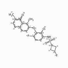 Cc1c(Oc2c(F)ccc(NS(=O)(=O)N3CC(F)C3)c2Cl)ccc2ncn(C)c(=O)c12